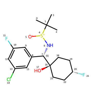 CC(C)(C)[S+]([O-])N[C@@H](c1cc(F)cc(Cl)c1)[C@]1(O)CC[C@H](F)CC1